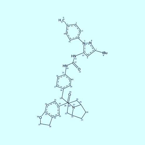 Cc1ccc(-n2nc(C(C)(C)C)cc2NC(=O)Nc2ccc(CC3CC4CCC(C3)N4C(=O)c3ccc4c(c3)CCO4)cc2)cc1